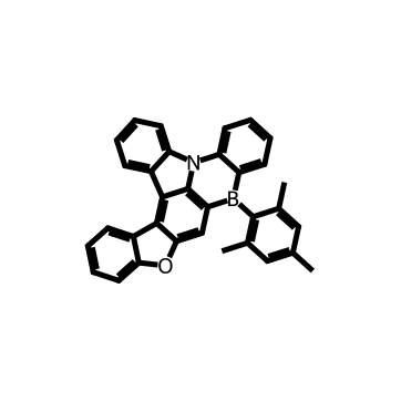 Cc1cc(C)c(B2c3ccccc3-n3c4ccccc4c4c5c(cc2c43)oc2ccccc25)c(C)c1